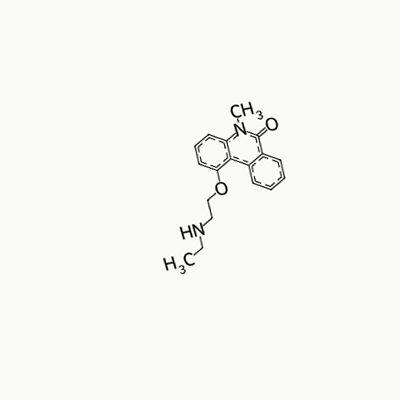 CCNCCOc1cccc2c1c1ccccc1c(=O)n2C